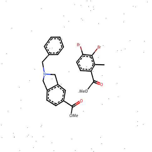 COC(=O)c1ccc(Br)c(Br)c1C.COC(=O)c1ccc2c(c1)CN(Cc1ccccc1)C2